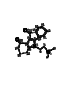 CN(C)CCn1c2c(c3c1-c1ccccc1C3=O)C(=O)CCC2